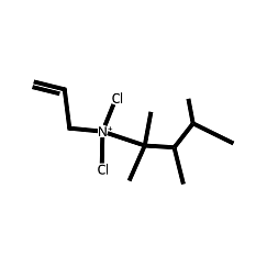 C=CC[N+](Cl)(Cl)C(C)(C)[C](C)C(C)C